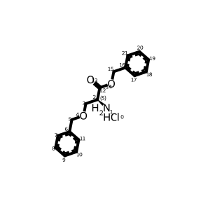 Cl.N[C@@H](COCc1ccccc1)C(=O)OCc1ccccc1